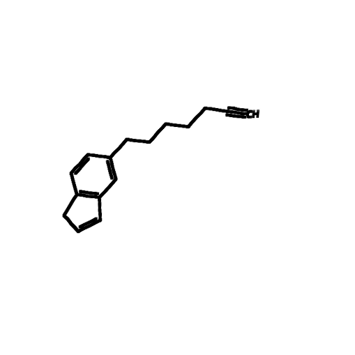 C#CCCCCCc1ccc2c(c1)C=CC2